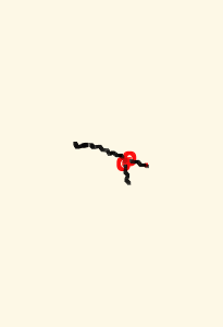 C=CC#C/C=C/CCCCCCCC(OCCCCC)OCCCCC